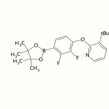 CC(C)(C)c1cccnc1Oc1ccc(B2OC(C)(C)C(C)(C)O2)c(F)c1F